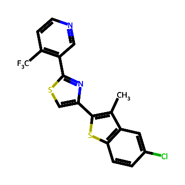 Cc1c(-c2csc(-c3cnccc3C(F)(F)F)n2)sc2ccc(Cl)cc12